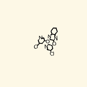 ClC1C=NCC(OC2N=C3CCCCC3=NC2OC2C=NCC(Cl)C2)C1